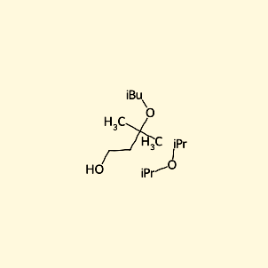 CC(C)OC(C)C.CCC(C)OC(C)(C)CCO